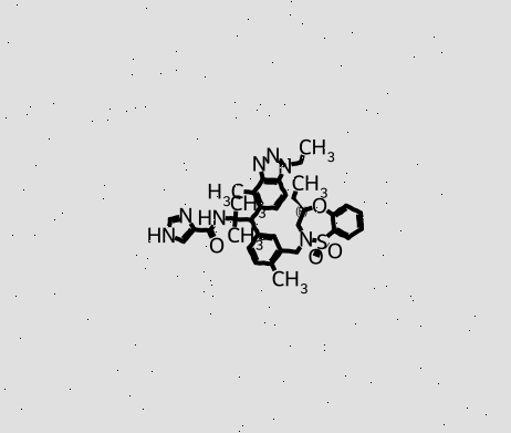 CC[C@@H]1CN(Cc2cc(C(c3ccc4c(nnn4CC)c3C)C(C)(C)NC(=O)c3c[nH]cn3)ccc2C)S(=O)(=O)c2ccccc2O1